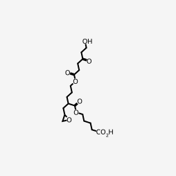 O=C(O)CCCCOC(=O)C(CCCOC(=O)CCC(=O)CCO)CC1CO1